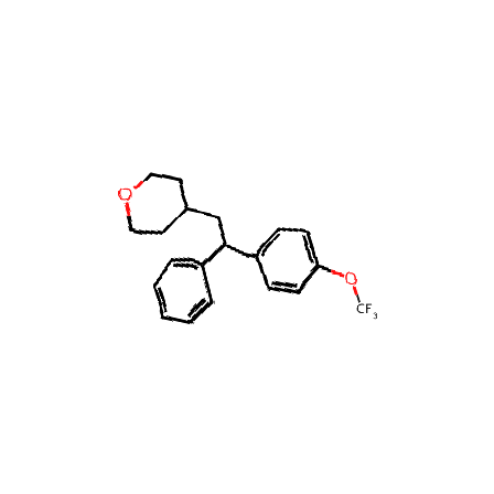 FC(F)(F)Oc1ccc(C(CC2CCOCC2)c2ccccc2)cc1